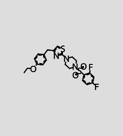 CCOc1ccc(Cc2csc(N3CCN(S(=O)(=O)c4ccc(F)cc4F)CC3)n2)cc1